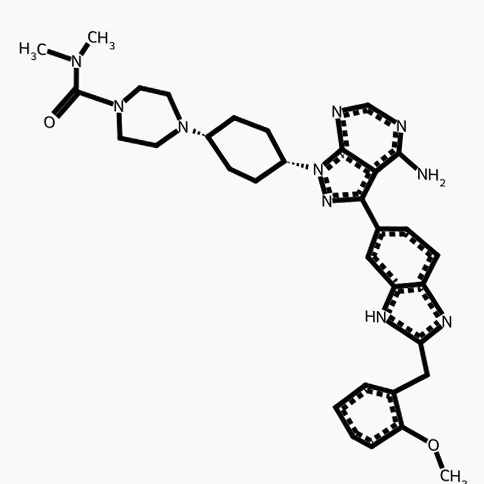 COc1ccccc1Cc1nc2ccc(-c3nn([C@H]4CC[C@@H](N5CCN(C(=O)N(C)C)CC5)CC4)c4ncnc(N)c34)cc2[nH]1